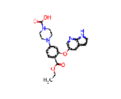 CCOC(=O)c1ccc(N2CCN(C(=O)O)CC2)cc1Oc1cnc2[nH]ccc2c1